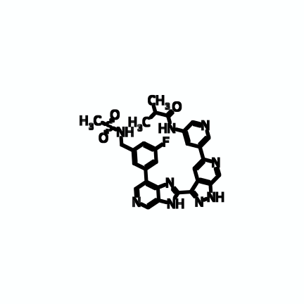 CC(C)C(=O)Nc1cncc(-c2cc3c(-c4nc5c(-c6cc(F)cc(CNS(C)(=O)=O)c6)cncc5[nH]4)n[nH]c3cn2)c1